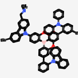 C=NCc1ccc2c(c1)c1cc(C(C)(C)C)ccc1n2-c1ccc2c(c1)Oc1cc(-c3cc(C#N)ccc3N(c3ccccc3)c3ccccc3)cc3c1B2c1ccc(-c2ccccc2-n2c4ccccc4c4ccccc42)cc1O3